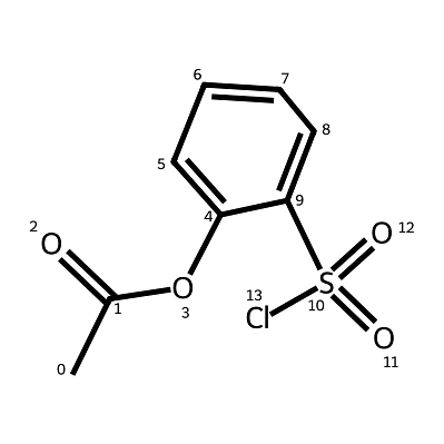 CC(=O)Oc1ccccc1S(=O)(=O)Cl